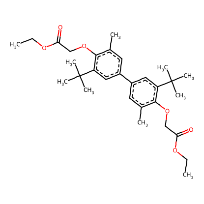 CCOC(=O)COc1c(C)cc(-c2cc(C)c(OCC(=O)OCC)c(C(C)(C)C)c2)cc1C(C)(C)C